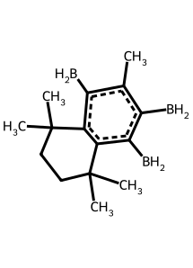 Bc1c(B)c2c(c(B)c1C)C(C)(C)CCC2(C)C